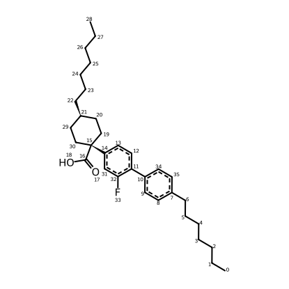 CCCCCCCc1ccc(-c2ccc([C@]3(C(=O)O)CC[C@H](CCCCCCC)CC3)cc2F)cc1